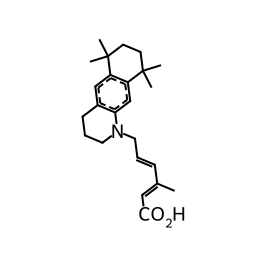 CC(C=CCN1CCCc2cc3c(cc21)C(C)(C)CCC3(C)C)=CC(=O)O